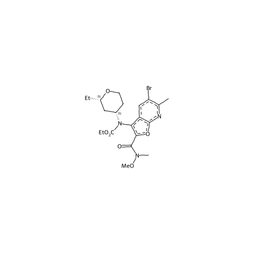 CCOC(=O)N(c1c(C(=O)N(C)OC)oc2nc(C)c(Br)cc12)[C@H]1CCO[C@@H](CC)C1